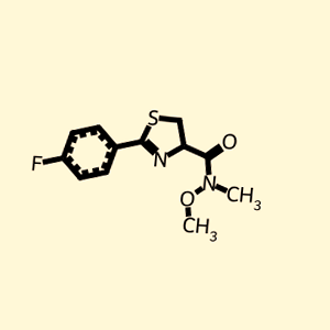 CON(C)C(=O)C1CSC(c2ccc(F)cc2)=N1